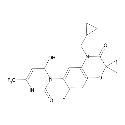 O=C1NC(C(F)(F)F)=CC(O)N1c1cc2c(cc1F)OC1(CC1)C(=O)N2CC1CC1